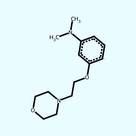 CN(C)c1cc[c]c(OCCN2CCOCC2)c1